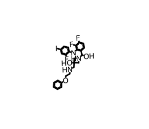 OC(c1ccc(F)c(F)c1Nc1ccc(I)cc1F)N1CC(O)(CNCCOc2ccccc2)C1